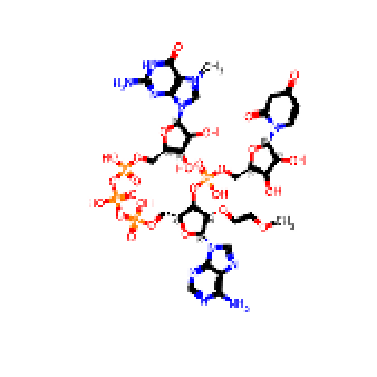 COCCO[C@H]1C(OP(=O)(O)OC[C@H]2O[C@@H](N3C=CC(=O)CC3=O)[C@@H](O)C2O)[C@@H](COP(=O)(O)OP(=O)(O)OP(=O)(O)OC[C@H]2O[C@@H](n3c[n+](C)c4c(=O)[nH]c(N)nc43)C(O)[C@H]2O)O[C@H]1n1cnc2c(N)ncnc21